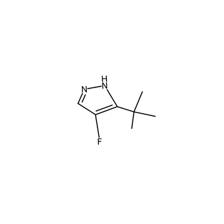 CC(C)(C)c1[nH]ncc1F